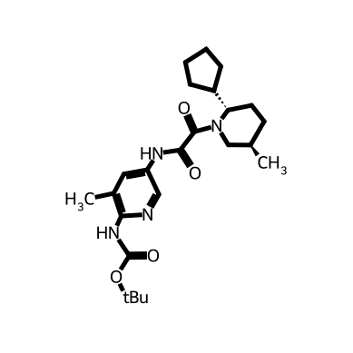 Cc1cc(NC(=O)C(=O)N2C[C@H](C)CC[C@H]2C2CCCC2)cnc1NC(=O)OC(C)(C)C